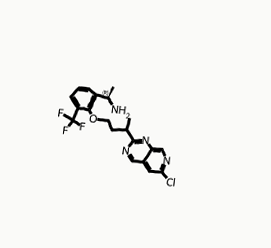 CC(CCOc1c([C@@H](C)N)cccc1C(F)(F)F)c1ncc2cc(Cl)ncc2n1